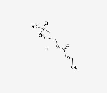 CC=CC(=O)OCCC[N+](C)(C)CC.[Cl-]